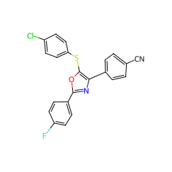 N#Cc1ccc(-c2nc(-c3ccc(F)cc3)oc2Sc2ccc(Cl)cc2)cc1